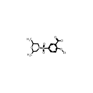 CCOc1ccc(S(=O)(=O)N2CC(C)OC(C)C2)cc1C(=O)Cl